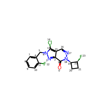 O=c1c2nn(Cc3ccccc3F)c(Cl)c2cnn1[C@@H]1CC[C@@H]1F